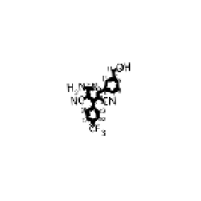 N#Cc1c(N)nc(-c2cccc(CO)c2)c(C#N)c1-c1ccc(C(F)(F)F)cc1